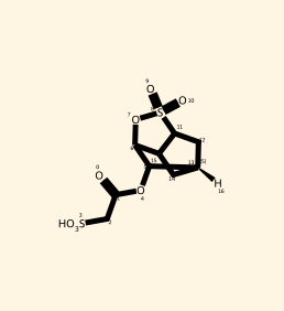 O=C(CS(=O)(=O)O)OC1C2OS(=O)(=O)C3C[C@@H]1CC23